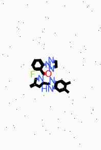 C=C1CC(c2nc3cc(C)c(C)cc3[nH]2)N(C(=O)c2c(F)cccc2-n2nccn2)C1